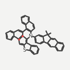 CC1(C)c2cc(N(c3ccc4ccccc4c3-c3ccc4ccccc4c3)c3cccc4sc5ccccc5c34)ccc2-c2cc3ccccc3cc21